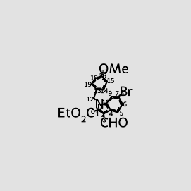 CCOC(=O)c1c(C=O)c2ccc(Br)cc2n1Cc1ccc(OC)cc1